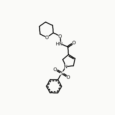 O=C(NOC1CCCCO1)C1=CCN(S(=O)(=O)c2ccccc2)C1